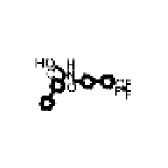 O=C(O)CC(NC(=O)c1ccc(-c2ccc(OC(F)(F)F)cc2)cc1)c1ccc(-c2ccccc2)cc1